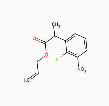 C=CCOC(=O)C(C)c1cccc([N+](=O)[O-])c1F